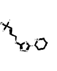 FC(F)(F)/C=C/COc1nnc([C@H]2CCCCN2)o1